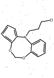 ClCCCN1c2ccccc2OCOc2ccccc21